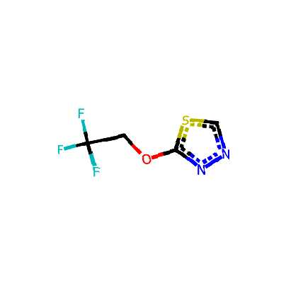 FC(F)(F)COc1nncs1